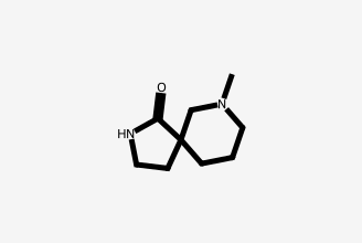 CN1CCCC2(CCNC2=O)C1